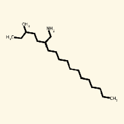 CCCCCCCCCCCCC(CN)CCC(C)CC